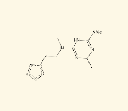 CNC1=NC(C)N=C(N(C)CCc2ccsc2)N1